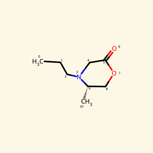 CCCN1CC(=O)OC[C@@H]1C